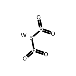 O=P(=O)SP(=O)=O.[W]